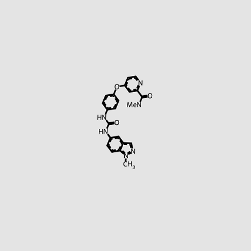 CNC(=O)c1cc(Oc2ccc(NC(=O)Nc3ccc4c(cnn4C)c3)cc2)ccn1